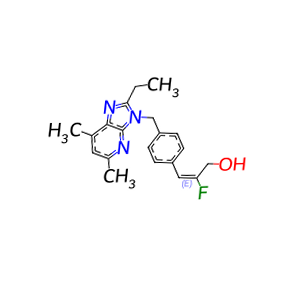 CCc1nc2c(C)cc(C)nc2n1Cc1ccc(/C=C(/F)CO)cc1